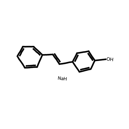 Oc1ccc(C=Cc2ccccc2)cc1.[NaH]